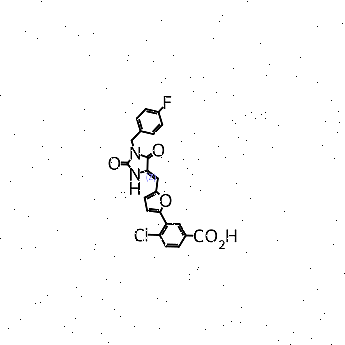 O=C(O)c1ccc(Cl)c(-c2ccc(/C=C3\NC(=O)N(Cc4ccc(F)cc4)C3=O)o2)c1